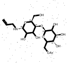 C=CCN[C@@H]1O[C@@H](CO)[C@@H](O[C@@H]2OC(COC(C)=O)[C@@H](O)[C@H](O)C2O)C(O)C1O